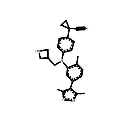 Cc1ccc(-c2c(C)noc2C)cc1N(CC1CNC1)c1ccc(C2(C#N)CC2)cc1